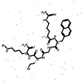 CC(=O)CC[C@@H](NC(=O)CNC(=O)[C@H](Cc1ccc2ccccc2c1)NC(=O)[C@H](C)CCCNC(=N)N)C(=O)N[C@@H](CCCCNC(C)C)C(N)=O